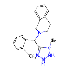 Cc1ccccc1C(C1=NNNN1C(C)(C)C)N1CCc2ccccc2C1